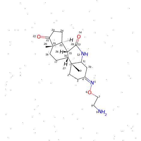 C[C@]12CCC(=NOCCN)CC1NC(=O)[C@@H]1[C@H]2CC[C@]2(C)C(=O)CC[C@@H]12